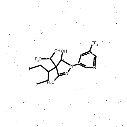 CC1=NN(c2cncc(C(F)(F)F)c2)C(O)C1(C(CI)CI)C(O)C(F)(F)F